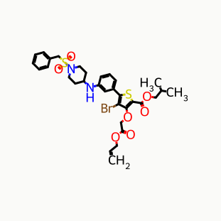 C=CCOC(=O)COc1c(C(=O)OCC(C)C)sc(-c2cccc(NC3CCN(S(=O)(=O)Cc4ccccc4)CC3)c2)c1Br